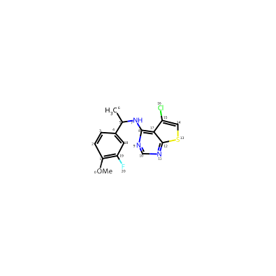 COc1ccc(C(C)Nc2ncnc3scc(Cl)c23)cc1F